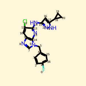 Fc1ccc(Cn2cnc3cc(Cl)c(Nc4cc(C5CC5)[nH]n4)nc32)cc1